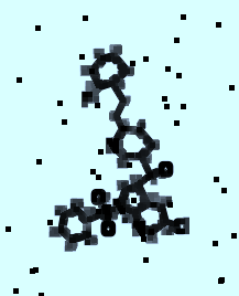 O=C(c1ccc(CCc2ccccc2F)nc1)c1cn(S(=O)(=O)c2ccccc2)c2ncc(Cl)cc12